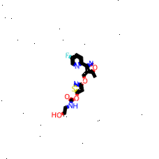 Cc1onc(-c2ccc(F)cn2)c1COc1cc(OC(=O)NCCO)sn1